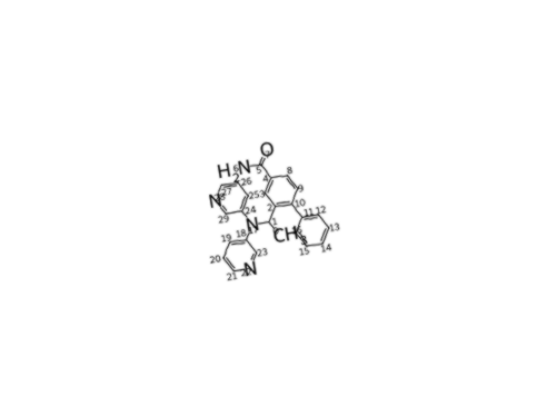 CC(c1cc(C(N)=O)ccc1-c1ccccc1)N(c1cccnc1)c1cccnc1